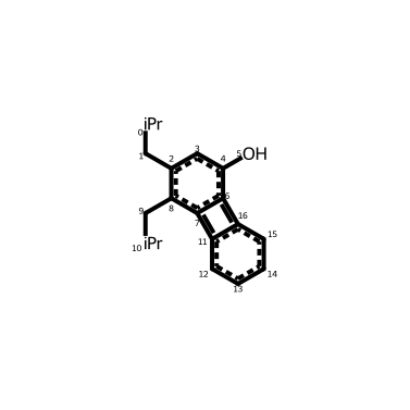 CC(C)Cc1cc(O)c2c(c1CC(C)C)=c1ccccc1=2